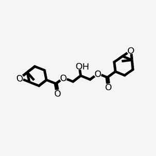 CC12CCC(C(=O)OCC(O)COC(=O)C3CCC4(C)OC4C3)CC1O2